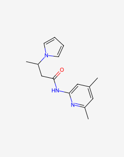 Cc1cc(C)nc(NC(=O)CC(C)n2cccc2)c1